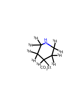 [2H]C1([2H])NC([2H])([2H])C([2H])([2H])C([2H])(C(=O)OCC)C1([2H])[2H]